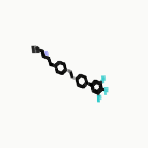 CC/C=C/CC[C@H]1CC[C@H](CC[C@H]2CC[C@H](c3cc(F)c(F)c(F)c3)CC2)CC1